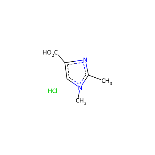 Cc1nc(C(=O)O)cn1C.Cl